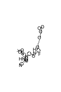 COC(=O)COCCCOCCCCCOc1ccc(F)c(CNC(=O)c2cccc(NC3(c4nnc(-c5ccncc5)[nH]4)CCN(C(=O)OC(C)(C)C)CC3)c2)c1